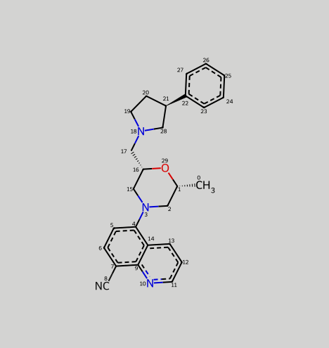 C[C@@H]1CN(c2ccc(C#N)c3ncccc23)C[C@H](CN2CC[C@@H](c3ccccc3)C2)O1